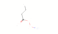 CCCC(=O)OON